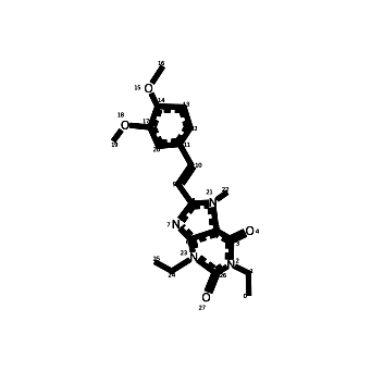 CCn1c(=O)c2c(nc(C=Cc3ccc(OC)c(OC)c3)n2C)n(CC)c1=O